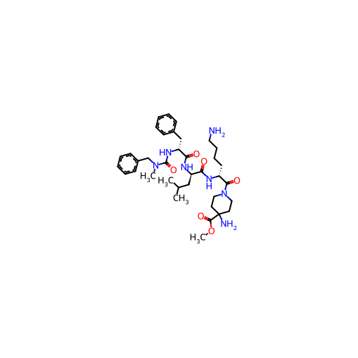 COC(=O)C1(N)CCN(C(=O)[C@@H](CCCCN)NC(=O)[C@@H](CC(C)C)NC(=O)[C@@H](Cc2ccccc2)NC(=O)N(C)Cc2ccccc2)CC1